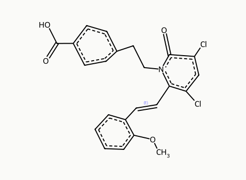 COc1ccccc1/C=C/c1c(Cl)cc(Cl)c(=O)n1CCc1ccc(C(=O)O)cc1